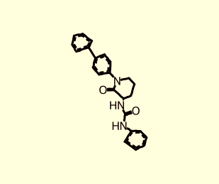 O=C(Nc1ccccc1)N[C@H]1CCCN(c2ccc(-c3ccccc3)cc2)C1=O